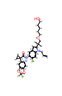 C=CCn1c(C(C)(C)COCCCCCO)cc2cc(NC(=O)C3(c4ccc5c(c4)OC(F)(F)O5)CC3)c(F)cc21